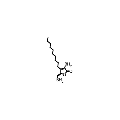 B/C=C1\OC(=O)C(B)=C1CCCCCCCCCC